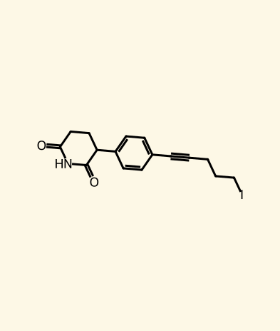 O=C1CCC(c2ccc(C#CCCCI)cc2)C(=O)N1